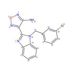 Nc1nonc1-c1nc2ccccc2n1Cc1cccc(Br)c1